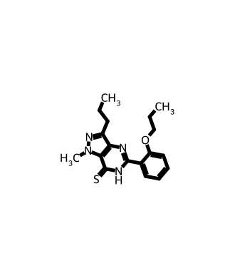 CCCOc1ccccc1-c1nc2c(CCC)nn(C)c2c(=S)[nH]1